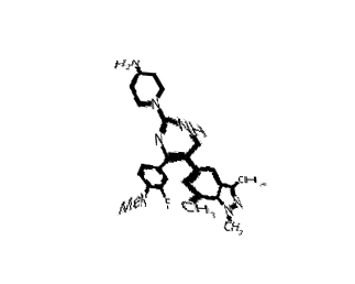 CNc1ccc(C2=C(C3=CC(C)C4C(=C3)C(C)=NN4C)CNC(N3CCC(N)CC3)=N2)cc1F